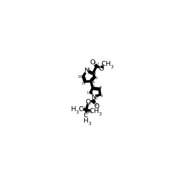 COC(=O)c1cc(C2=CCN(C(=O)OC(C)(C)C)C2)ccn1